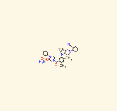 CCN(c1cc(C(=O)N2CCN(c3ccccc3S(N)(=O)=O)CC2)c(C)cc1C)C1CCN(c2ccccc2C#N)CC1C